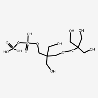 O=P(O)(O)OP(=O)(O)OCC(CO)(CO)COCC(CO)(CO)CO